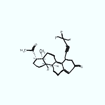 CC(=O)[C@H]1CC[C@H]2[C@@H]3CCC4=CC(=O)CC(C#CC(F)(F)F)C4=C3CC[C@]12C